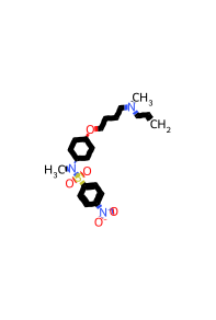 C=CCN(C)CCCCO[C@H]1CC[C@H](N(C)S(=O)(=O)c2ccc([N+](=O)[O-])cc2)CC1